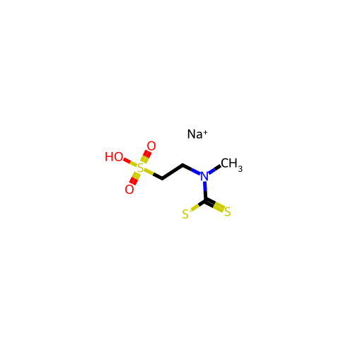 CN(CCS(=O)(=O)O)C(=S)[S-].[Na+]